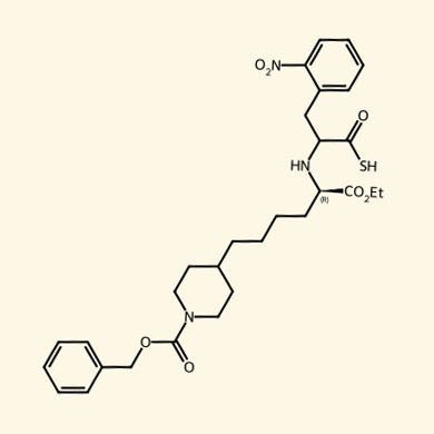 CCOC(=O)[C@@H](CCCCC1CCN(C(=O)OCc2ccccc2)CC1)NC(Cc1ccccc1[N+](=O)[O-])C(=O)S